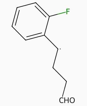 O=CCC[CH]c1ccccc1F